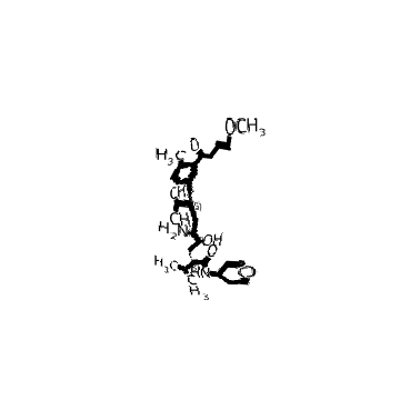 COCCCC(=O)c1cc(C[C@@H](C[C@H](N)[C@@H](O)C[C@H](C(=O)NC2CCOCC2)C(C)C)C(C)C)ccc1C